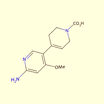 COc1cc(N)ncc1C1=CCN(C(=O)O)CC1